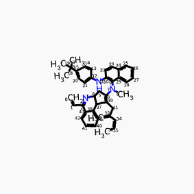 C=CC1=NC2CC(N(C)c3c(Nc4ccc(C(C)(C)C)cc4)ccc4ccccc34)=C(CC(=C)/C=C\C)C2c2ccccc21